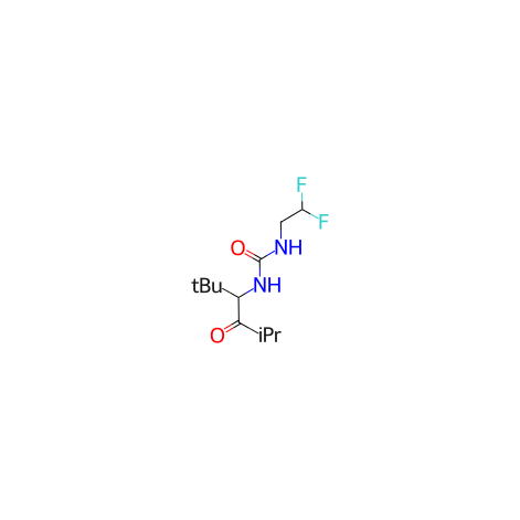 CC(C)C(=O)C(NC(=O)NCC(F)F)C(C)(C)C